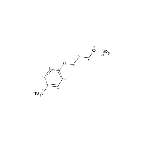 O=C(O)c1ccc(OCCCO[N+](=O)[O-])cc1